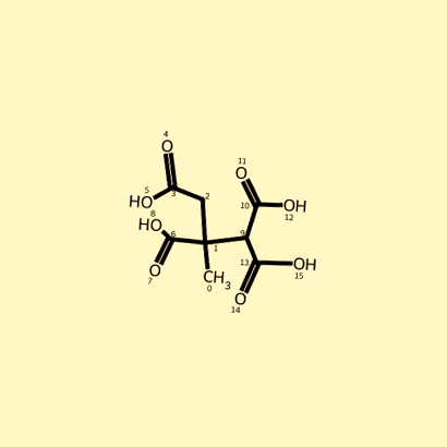 CC(CC(=O)O)(C(=O)O)C(C(=O)O)C(=O)O